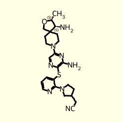 C[C@@H]1OCC2(CCN(c3cnc(Sc4cccnc4N4CCC(CC#N)C4)c(N)n3)CC2)[C@@H]1N